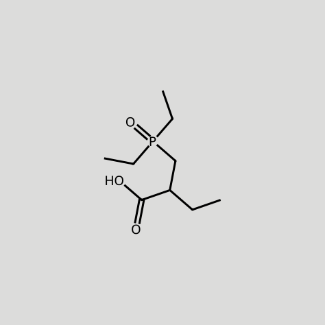 CCC(CP(=O)(CC)CC)C(=O)O